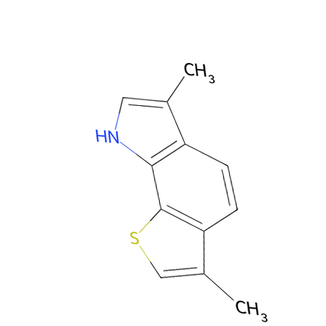 Cc1c[nH]c2c1ccc1c(C)csc12